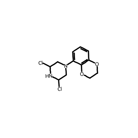 ClC1CN(c2cccc3c2OCCO3)CC(Cl)N1